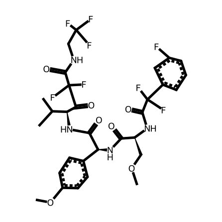 COC[C@H](NC(=O)C(F)(F)c1cccc(F)c1)C(=O)N[C@H](C(=O)N[C@H](C(=O)C(F)(F)C(=O)NCC(F)(F)F)C(C)C)c1ccc(OC)cc1